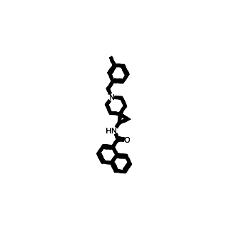 Cc1cccc(CN2CCC3(CC2)CC3NC(=O)c2cccc3ccccc23)c1